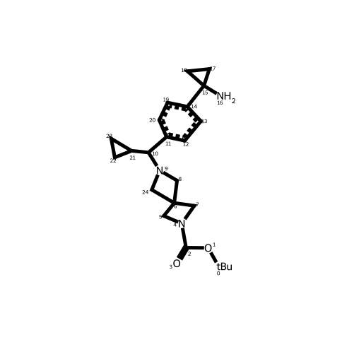 CC(C)(C)OC(=O)N1CC2(C1)CN(C(c1ccc(C3(N)CC3)cc1)C1CC1)C2